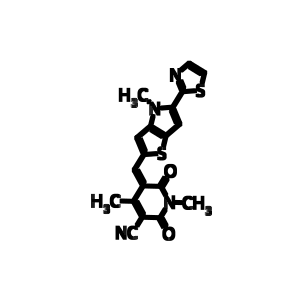 CC1=C(C#N)C(=O)N(C)C(=O)/C1=C\c1cc2c(cc(-c3nccs3)n2C)s1